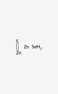 [S]=[Zn].[SeH2].[Zn]